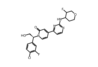 O=c1cc(-c2ccnc(NC3CCOCC3F)n2)ccn1[C@H](CO)c1ccc(Cl)c(F)c1